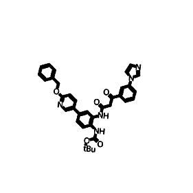 CC(C)(C)OC(=O)Nc1ccc(-c2ccc(OCc3ccccc3)nc2)cc1NC(=O)CC(=O)c1cccc(-n2ccnc2)c1